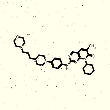 Cc1cc2cnc(Nc3ccc(N4CCC(CCCN5CCOCC5)CC4)cc3)nc2n(C2CCCCC2)c1=O